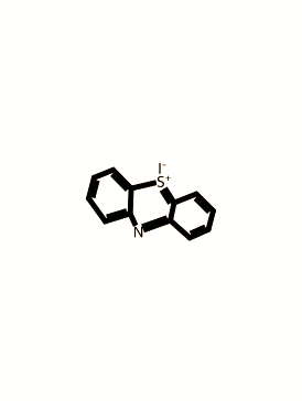 [I-].c1ccc2[s+]c3ccccc3nc2c1